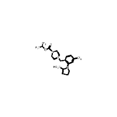 O=C(O)C1CCCN1c1cc(C(F)(F)F)ccc1CN1CCN(C(=O)OC(C(F)(F)F)C(F)(F)F)CC1